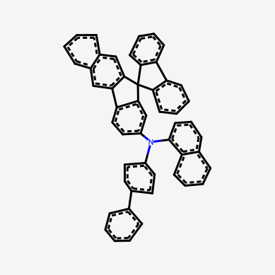 c1ccc(-c2ccc(N(c3ccc4c(c3)C3(c5ccccc5-c5ccccc53)c3cc5ccccc5cc3-4)c3cccc4ccccc34)cc2)cc1